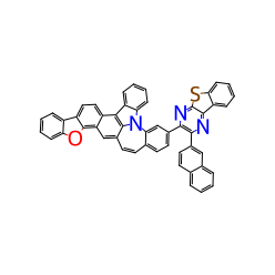 C1=Cc2cc3c(ccc4c5ccccc5oc43)c3c4ccccc4n(c23)-c2cc(-c3nc4sc5ccccc5c4nc3-c3ccc4ccccc4c3)ccc21